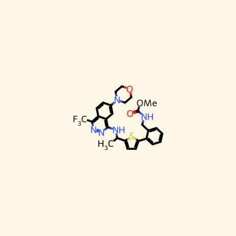 COC(=O)NCc1ccccc1-c1ccc(C(C)Nc2nnc(C(F)(F)F)c3ccc(N4CCOCC4)cc23)s1